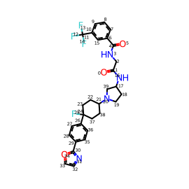 O=C(CNC(=O)c1cccc(C(F)(F)F)c1)NC1CCN(C2CCC(F)(c3ccc(-c4ncco4)cc3)CC2)C1